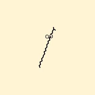 CCCCCCCCCCCCCCCCCC(=O)OCCCC(C)C